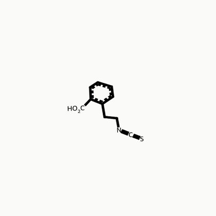 O=C(O)c1ccccc1CCN=C=S